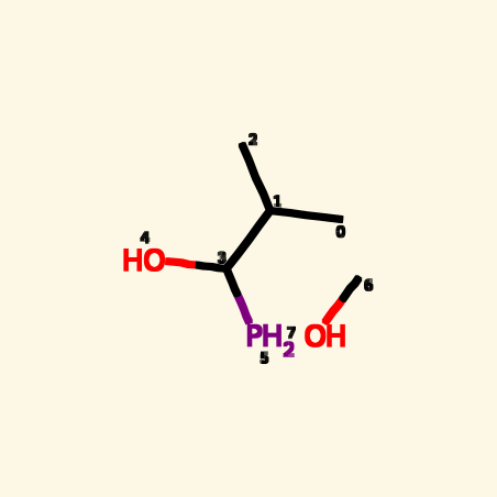 CC(C)C(O)P.CO